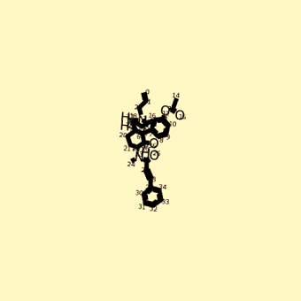 C=CCN1CC[C@@]23c4c5ccc(OC(C)=O)c4C[C@@H]1[C@@H]2CC[C@@H](N(C)C(=O)C#Cc1ccccc1)[C@@H]3O5